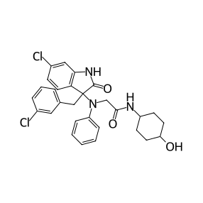 O=C(CN(c1ccccc1)C1(Cc2cccc(Cl)c2)C(=O)Nc2cc(Cl)ccc21)NC1CCC(O)CC1